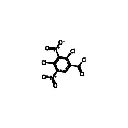 O=C(Cl)c1cc([N+](=O)[O-])c(Cl)c([N+](=O)[O-])c1Cl